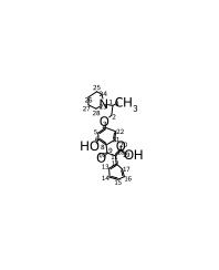 CC(COc1cc(O)c2c(=O)c(-c3ccccc3)c(O)oc2c1)N1CCCCC1